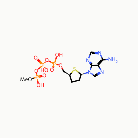 COP(=O)(O)OP(=O)(O)OP(=O)(O)OC[C@@H]1CC[C@H](n2cnc3c(N)ncnc32)S1